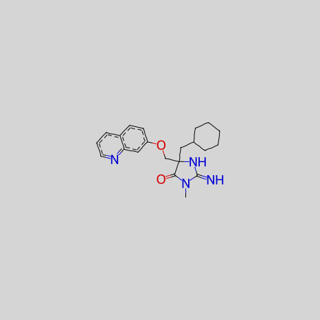 CN1C(=N)NC(COc2ccc3cccnc3c2)(CC2CCCCC2)C1=O